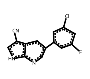 N#Cc1c[nH]c2ncc(-c3cc(F)cc(Cl)c3)cc12